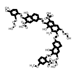 COc1ccc(N=Nc2c(S(=O)(=O)O)cc3cc(N=Nc4c(S(=O)(=O)O)cc5cc(SOOO)c(N=Nc6ccc7cc(SOOO)c(N=Nc8ccc(OC)cc8S(=O)(=O)O)c(O)c7c6)c(N)c5c4O)ccc3c2O)c(SOOO)c1